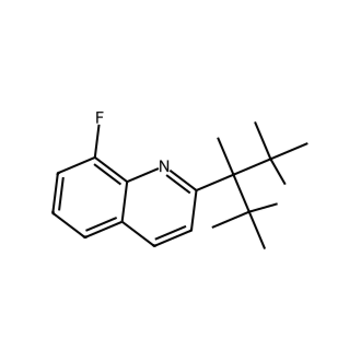 CC(C)(C)C(C)(c1ccc2cccc(F)c2n1)C(C)(C)C